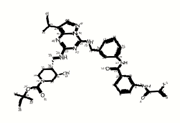 C=C(F)C(=O)Nc1cccc(C(=O)Nc2cccc(CNc3nc(NC[C@H]4CCN(C(=O)OC(C)(C)C)C[C@@H]4O)nc4c(C(C)C)cnn34)c2)c1